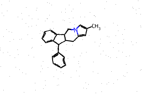 Cc1cc2n(c1)CC1c3ccccc3C(c3ccccc3)C1C2